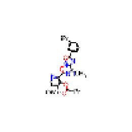 CCCC(=O)Oc1c(OC)ccnc1C(=O)N[C@@H](C)c1noc(-c2cccc(C(C)C)c2)n1